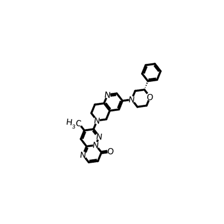 Cc1cc2nccc(=O)n2nc1N1CCc2ncc(N3CCO[C@@H](c4ccccc4)C3)cc2C1